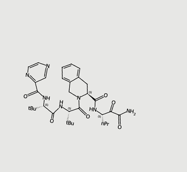 CCC[C@H](NC(=O)[C@@H]1Cc2ccccc2CN1C(=O)[C@@H](NC(=O)[C@@H](NC(=O)c1cnccn1)C(C)(C)C)C(C)(C)C)C(=O)C(N)=O